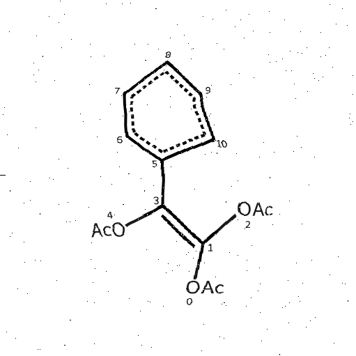 CC(=O)OC(OC(C)=O)=C(OC(C)=O)c1ccccc1